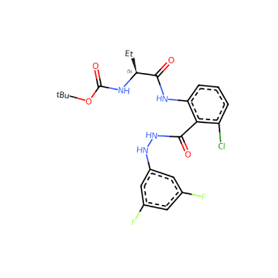 CC[C@H](NC(=O)OC(C)(C)C)C(=O)Nc1cccc(Cl)c1C(=O)NNc1cc(F)cc(F)c1